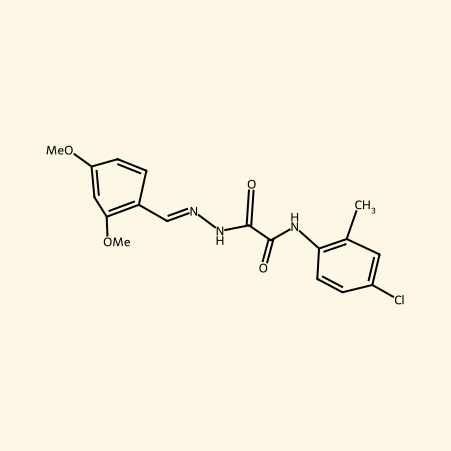 COc1ccc(/C=N/NC(=O)C(=O)Nc2ccc(Cl)cc2C)c(OC)c1